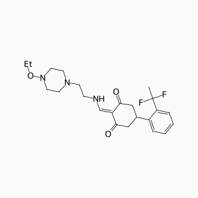 CCON1CCN(CCNC=C2C(=O)CC(c3ccccc3C(C)(F)F)CC2=O)CC1